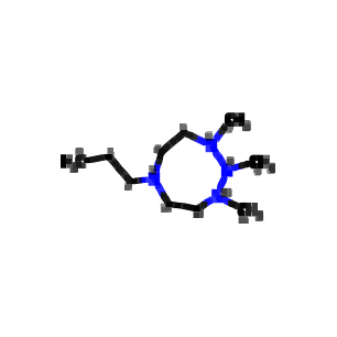 CCCN1CCN(C)N(C)N(C)CC1